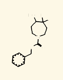 O=C(OCc1ccccc1)N1CCC(O)C(F)(F)CC1